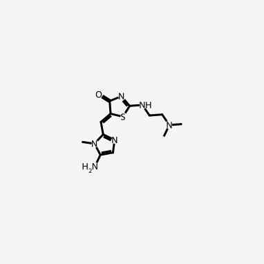 CN(C)CCNC1=NC(=O)/C(=C/c2ncc(N)n2C)S1